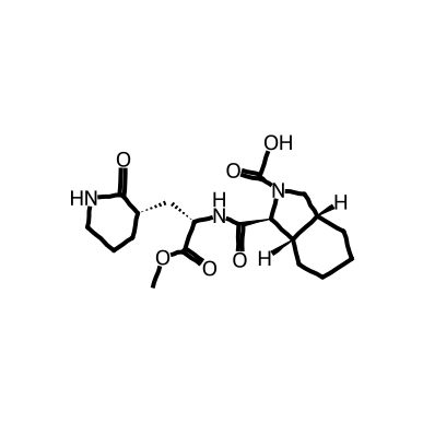 COC(=O)[C@H](C[C@@H]1CCCNC1=O)NC(=O)[C@@H]1[C@H]2CCCC[C@H]2CN1C(=O)O